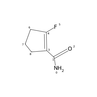 NC(=O)C1=C(F)CCC1